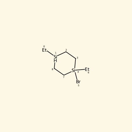 CC[SiH]1CC[Si](Br)(CC)CC1